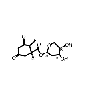 O=C1CC(=O)C(F)C(Br)(C(=O)O[C@@H]2C[C@H](O)[C@H](O)CO2)C1